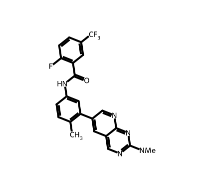 CNc1ncc2cc(-c3cc(NC(=O)c4cc(C(F)(F)F)ccc4F)ccc3C)cnc2n1